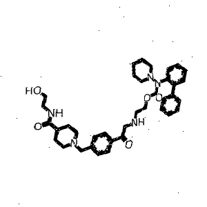 O=C(CNCCOC(=O)N(c1ccccc1-c1ccccc1)N1CC[CH]CC1)c1ccc(CN2CCC(C(=O)NCCO)CC2)cc1